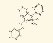 CS(=O)(=O)C(c1ccccc1)c1ccccc1SSCc1ccccc1